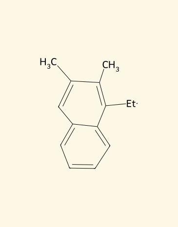 C[CH]c1c(C)c(C)cc2ccccc12